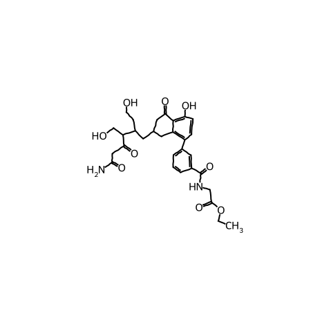 CCOC(=O)CNC(=O)c1cccc(-c2ccc(O)c3c2CC(CC(CCO)C(CO)C(=O)CC(N)=O)CC3=O)c1